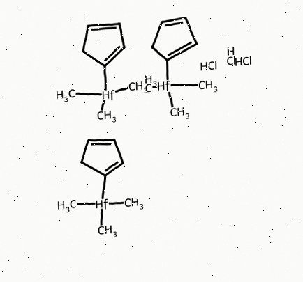 Cl.Cl.Cl.[CH3][Hf]([CH3])([CH3])[C]1=CC=CC1.[CH3][Hf]([CH3])([CH3])[C]1=CC=CC1.[CH3][Hf]([CH3])([CH3])[C]1=CC=CC1